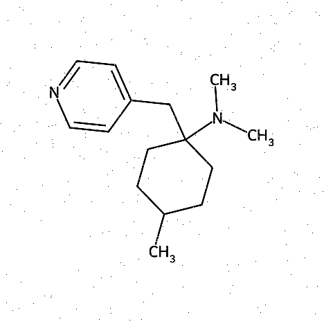 CC1CCC(Cc2ccncc2)(N(C)C)CC1